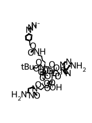 CC(C)(C)OC(=O)N[C@@H](CCCCNC(=O)OCc1ccc(N=[N+]=[N-])cc1)C(=O)O[C@H]1[C@@H](O)[C@H](n2cnc3c(N)ncnc32)O[C@@H]1COP(=O)(O)O[C@H]1C[C@H](n2ccc(N)nc2=O)O[C@@H]1COP(=O)(O)O